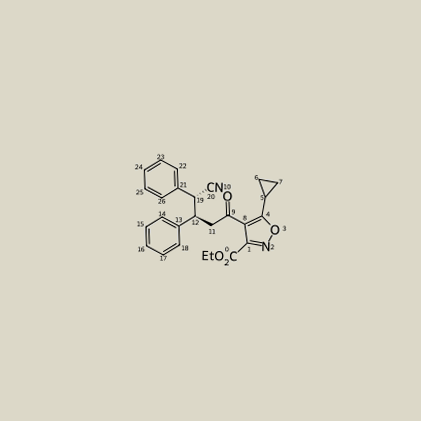 CCOC(=O)c1noc(C2CC2)c1C(=O)C[C@@H](c1ccccc1)[C@@H](C#N)c1ccccc1